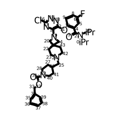 CC(C)N(C(=O)c1cc(F)ccc1Oc1nnc(Cl)nc1N1CC2(CCN(CC3CCN(C(=O)OCc4ccccc4)CC3)CC2)C1)C(C)C